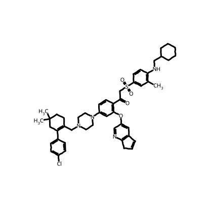 Cc1cc(S(=O)(=O)CC(=O)c2ccc(N3CCN(CC4=C(c5ccc(Cl)cc5)CC(C)(C)CC4)CC3)cc2Oc2cnc3c(c2)C=CC3)ccc1NCC1CCCCC1